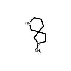 NN1CCC2(CCCNC2)C1